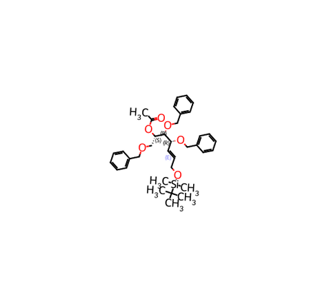 CC(=O)O[C@@H](COCc1ccccc1)[C@H](OCc1ccccc1)[C@@H](/C=C/CO[Si](C)(C)C(C)(C)C)OCc1ccccc1